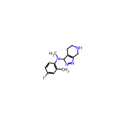 Cc1cc(F)ccc1N(C)C1N=NC2=C1CCNC2